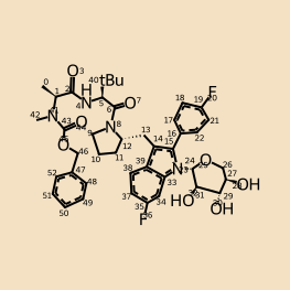 C[C@@H](C(=O)N[C@H](C(=O)N1CCC[C@H]1Cc1c(-c2ccc(F)cc2)n([C@@H]2OC[C@@H](O)[C@H](O)[C@H]2O)c2cc(F)ccc12)C(C)(C)C)N(C)C(=O)OCc1ccccc1